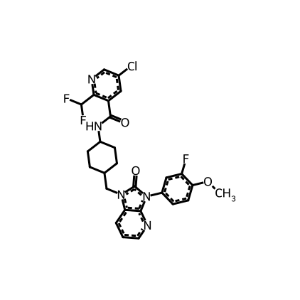 COc1ccc(-n2c(=O)n(CC3CCC(NC(=O)c4cc(Cl)cnc4C(F)F)CC3)c3cccnc32)cc1F